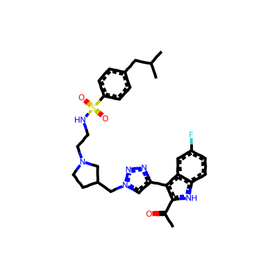 CC(=O)c1[nH]c2ccc(F)cc2c1-c1cn(CC2CCN(CCNS(=O)(=O)c3ccc(CC(C)C)cc3)C2)nn1